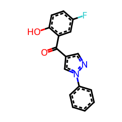 O=C(c1cnn(-c2ccccc2)c1)c1cc(F)ccc1O